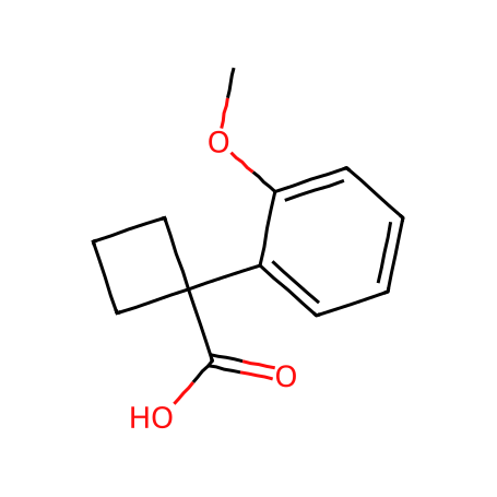 COc1ccccc1C1(C(=O)O)CCC1